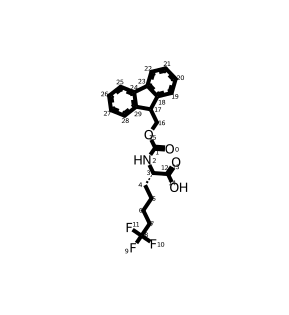 O=C(N[C@@H](CCCCC(F)(F)F)C(=O)O)OCC1c2ccccc2-c2ccccc21